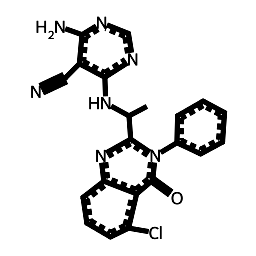 CC(Nc1ncnc(N)c1C#N)c1nc2cccc(Cl)c2c(=O)n1-c1ccccc1